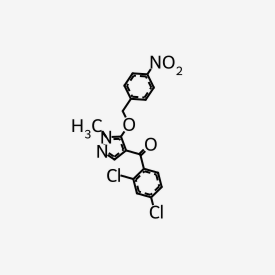 Cn1ncc(C(=O)c2ccc(Cl)cc2Cl)c1OCc1ccc([N+](=O)[O-])cc1